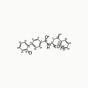 C=C(C[C@H](NC(=O)c1ccc(-c2ccccc2Cl)cc1)C(=O)O)c1ccccc1